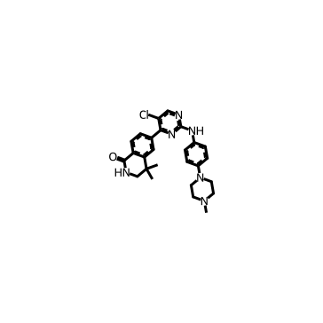 CN1CCN(c2ccc(Nc3ncc(Cl)c(-c4ccc5c(c4)C(C)(C)CNC5=O)n3)cc2)CC1